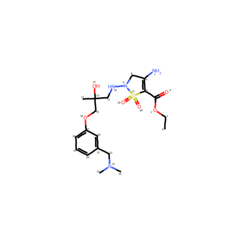 CCOC(=O)C1=C(N)CN(NCC(C)(O)COc2cccc(CN(C)C)c2)S1(=O)=O